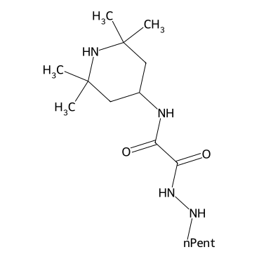 CCCCCNNC(=O)C(=O)NC1CC(C)(C)NC(C)(C)C1